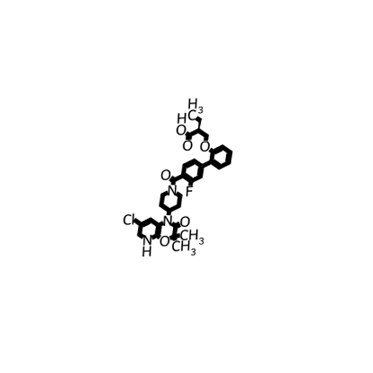 CC[C@@H](COc1ccccc1-c1ccc(C(=O)N2CCC(N3C(=O)C(C)(C)OC4=C3C=C(Cl)CN4)CC2)c(F)c1)C(=O)O